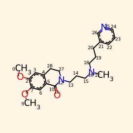 COc1cc2c(cc1OC)C(=O)N(CCCN(C)CCCc1cccnc1)CC2